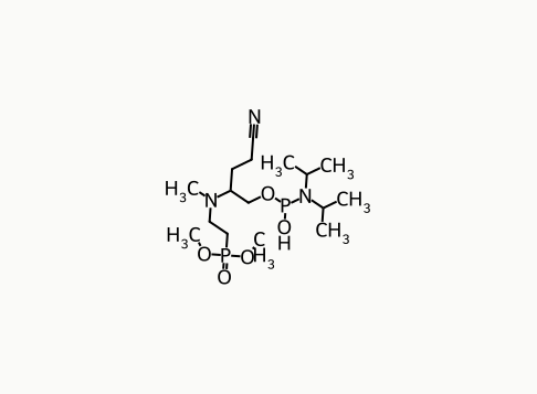 COP(=O)(CCN(C)C(CCC#N)COP(O)N(C(C)C)C(C)C)OC